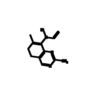 C=CN(CC)C1=C(C)CCc2cnc(N)nc21